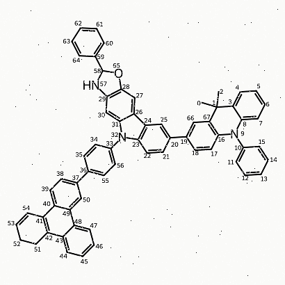 CC1(C)c2ccccc2N(c2ccccc2)c2ccc(-c3ccc4c(c3)c3cc5c(cc3n4-c3ccc(-c4ccc6c7c(c8ccccc8c6c4)CCC=C7)cc3)NC(c3ccccc3)O5)cc21